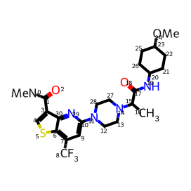 CNC(=O)c1csc2c(C(F)(F)F)cc(N3CCN(C(C)C(=O)NC4CCC(OC)CC4)CC3)nc12